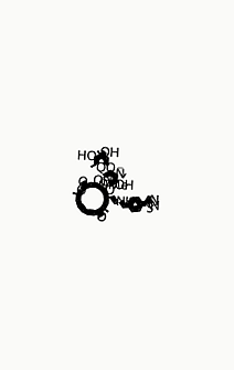 CO[C@@H]1[C@@H](O[C@@H]2O[C@H](C)[C@@H](O[C@H]3C[C@@](C)(O)[C@@H](O)[C@H](C)O3)[C@H](N(C)C)[C@H]2O)[C@@H](CCNCc2ccc(-c3cnns3)cc2)C[C@@H](C)C(=O)C=CC=CC[C@@H](C)OC(=O)C[C@@H]1O